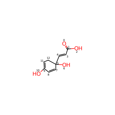 O=C(O)C=CC1(O)C=CC(O)=CC1